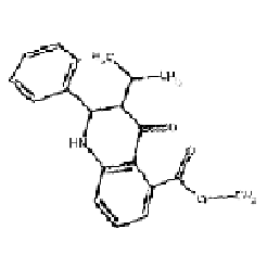 COC(=O)c1cccc2c1C(=O)C(C(C)C)C(c1ccccc1)N2